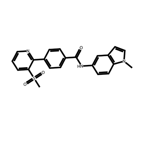 Cn1ccc2cc(NC(=O)c3ccc(-c4ncccc4S(C)(=O)=O)cc3)ccc21